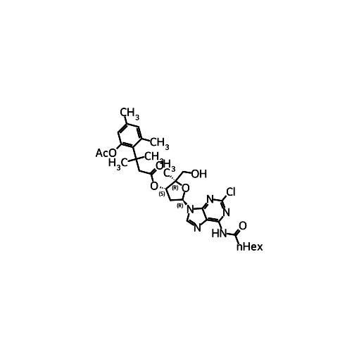 CCCCCCC(=O)Nc1nc(Cl)nc2c1ncn2[C@H]1C[C@H](OC(=O)CC(C)(C)c2c(C)cc(C)cc2OC(C)=O)[C@@](C)(CO)O1